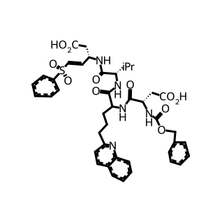 CC(C)[C@H](NC(=O)C(CCCc1ccc2ccccc2n1)NC(=O)[C@H](CC(=O)O)NC(=O)OCc1ccccc1)C(=O)N[C@H](/C=C/S(=O)(=O)c1ccccc1)CC(=O)O